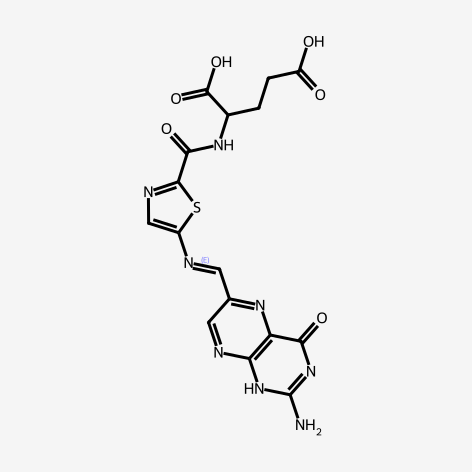 Nc1nc(=O)c2nc(/C=N/c3cnc(C(=O)NC(CCC(=O)O)C(=O)O)s3)cnc2[nH]1